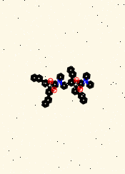 c1ccc(N(c2cccc(-c3cc4c(c(-c5ccc6ccccc6c5)c3)Oc3cc(N(c5ccccc5)c5ccccc5)cc5c3B4c3cccc(-c4ccc6ccccc6c4)c3O5)c2)c2cc3c4c(c2)Oc2cc(-c5ccc6ccccc6c5)ccc2B4c2ccc(-c4ccc5ccccc5c4)cc2O3)cc1